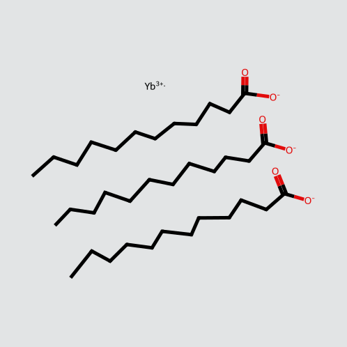 CCCCCCCCCCCC(=O)[O-].CCCCCCCCCCCC(=O)[O-].CCCCCCCCCCCC(=O)[O-].[Yb+3]